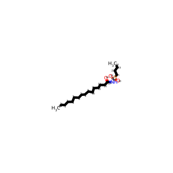 CCCCCCCCCCCCCCCC(=O)NS(=O)(=O)CCCC